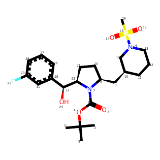 CC(C)(C)OC(=O)N1[C@H](C[C@@H]2CCCN(S(C)(=O)=O)C2)CC[C@@H]1[C@@H](O)c1cccc(F)c1